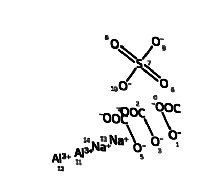 O=C([O-])[O-].O=C([O-])[O-].O=C([O-])[O-].O=S(=O)([O-])[O-].[Al+3].[Al+3].[Na+].[Na+]